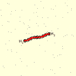 C=CC(=O)OCCCCCCOc1ccc(C(=O)Oc2ccc(-c3ccc(OC(=O)c4ccc(OCCCCCCOC(=O)CCCCCOC(=O)CCC(=O)OCCCCCC(=O)OCCCCCCOc5ccc(C(=O)Oc6ccc(-c7ccc(OC(=O)c8ccc(OCCCCCCOC(=O)C=C)cc8)cc7)cc6)cc5)cc4)cc3)cc2)cc1